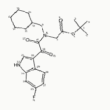 CC(C)(C)OC(=O)CN(CC1CCCCC1)C(=O)C(=O)c1c[nH]c2cc(F)ccc12